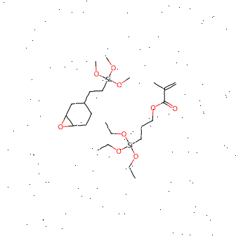 C=C(C)C(=O)OCCC[Si](OCC)(OCC)OCC.CO[Si](CCC1CCC2OC2C1)(OC)OC